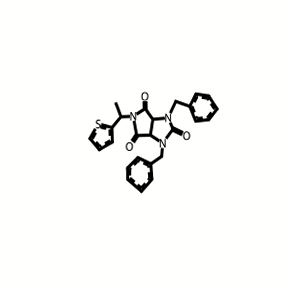 CC(c1cccs1)N1C(=O)C2C(C1=O)N(Cc1ccccc1)C(=O)N2Cc1ccccc1